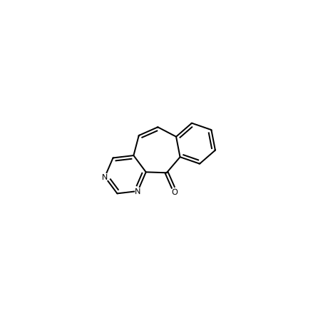 O=c1c2ccccc2ccc2cncnc12